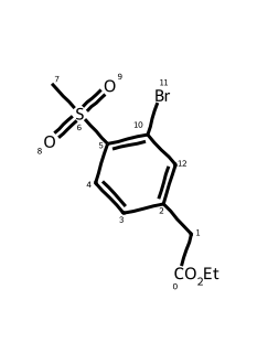 CCOC(=O)Cc1ccc(S(C)(=O)=O)c(Br)c1